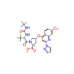 COC(=O)[C@@H]1CC(Oc2cc(-n3cccn3)nc3cc(OC)ccc23)CN1C(=O)C(NC(=O)NC(C)(C)C)C(C)(C)C